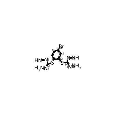 N=NC(=NN)Sc1ccc(Br)cc1SC(N=N)=NN